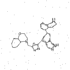 c1cc(-c2cc(-c3nnc(CN4CCOC5CCCCC54)o3)c3cn[nH]c3c2)c2cc[nH]c2c1